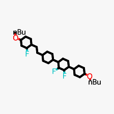 CCCCOC1CCC(C2CCC(C3CCC(CCC4CCC(OCCCC)CC4F)CC3)C(F)C2F)CC1